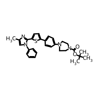 Cc1cn(-c2ccccc2)c(-c2ccc(-c3ccc(N4CCN(C(=O)OC(C)(C)C)CC4)cc3)s2)n1